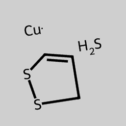 C1=CSSC1.S.[Cu]